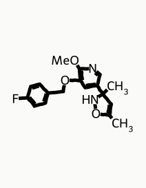 COc1ncc(C2(C)C=C(C)ON2)cc1OCc1ccc(F)cc1